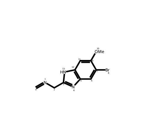 C=NCc1nc2cc(Br)c(OC)cc2[nH]1